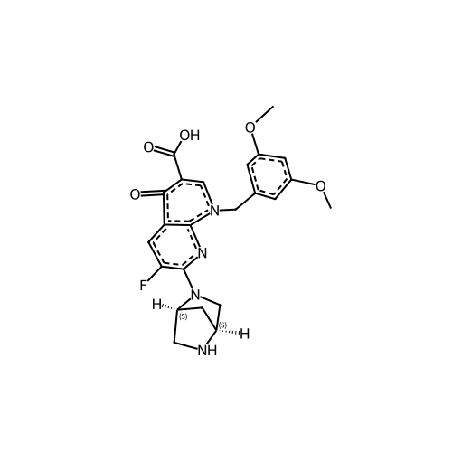 COc1cc(Cn2cc(C(=O)O)c(=O)c3cc(F)c(N4C[C@@H]5C[C@H]4CN5)nc32)cc(OC)c1